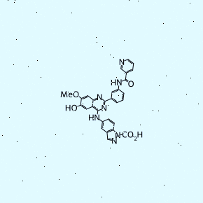 COc1cc2nc(-c3cccc(NC(=O)c4cccnc4)c3)nc(Nc3ccc4c(cnn4C(=O)O)c3)c2cc1O